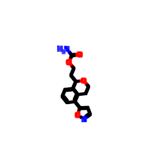 NC(=O)OCCC1OCCc2c(-c3ccno3)cccc21